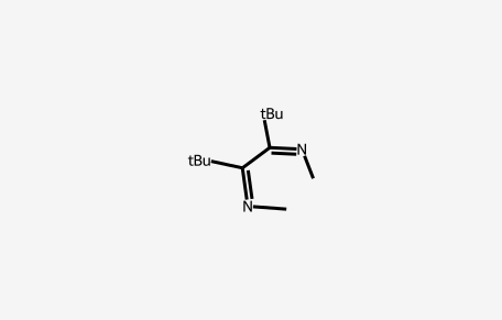 C/N=C(\C(=N/C)C(C)(C)C)C(C)(C)C